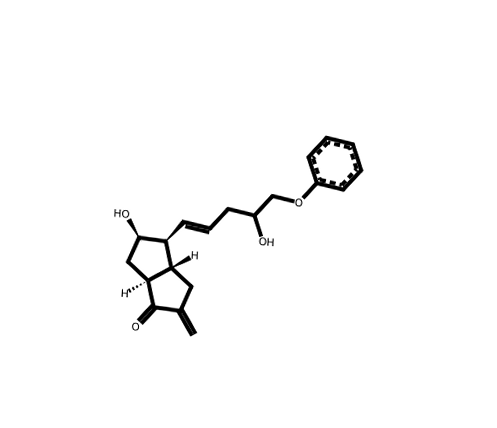 C=C1C[C@H]2[C@H](C=CCC(O)COc3ccccc3)[C@H](O)C[C@@H]2C1=O